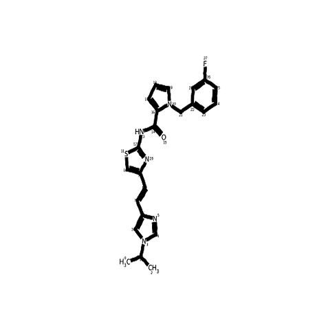 CC(C)n1cnc(C=Cc2csc(NC(=O)c3cccn3Cc3cccc(F)c3)n2)c1